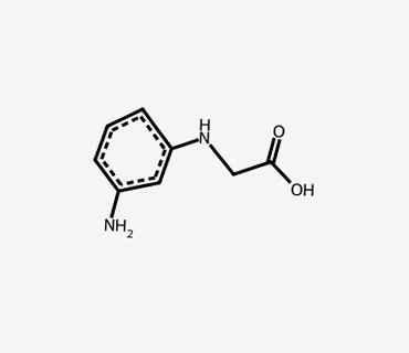 Nc1cccc(NCC(=O)O)c1